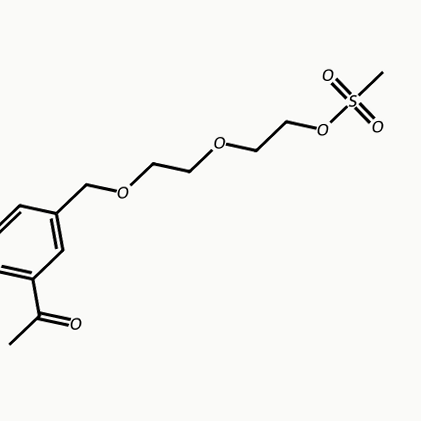 CC(=O)c1cccc(COCCOCCOS(C)(=O)=O)c1